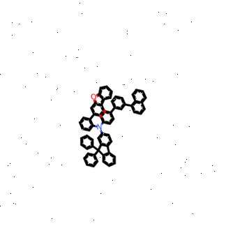 c1ccc(C2(c3ccccc3)c3ccccc3-c3ccc(N(c4ccc(-c5cccc(-c6cccc7ccccc67)c5)cc4)c4ccccc4-c4ccc5c(c4)oc4ccccc45)cc32)cc1